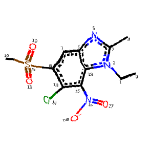 CCn1c(C)nc2cc(S(C)(=O)=O)c(Cl)c([N+](=O)[O-])c21